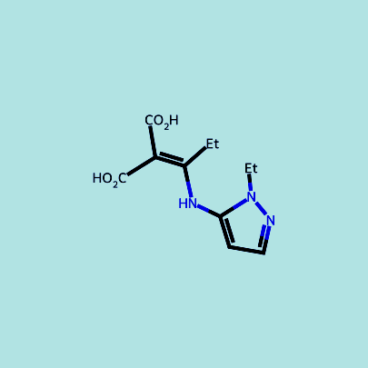 CCC(Nc1ccnn1CC)=C(C(=O)O)C(=O)O